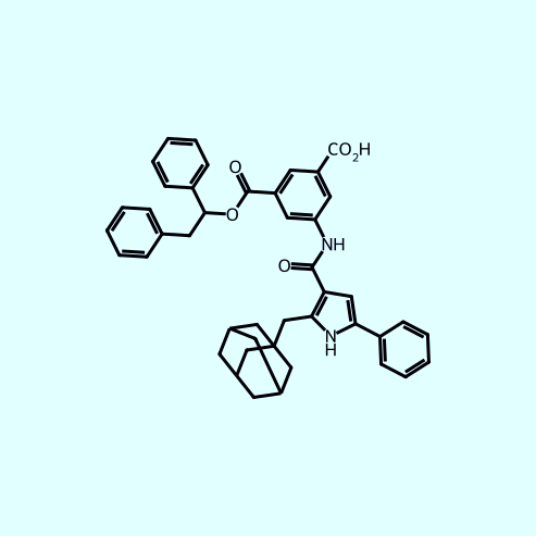 O=C(O)c1cc(NC(=O)c2cc(-c3ccccc3)[nH]c2CC23CC4CC(CC(C4)C2)C3)cc(C(=O)OC(Cc2ccccc2)c2ccccc2)c1